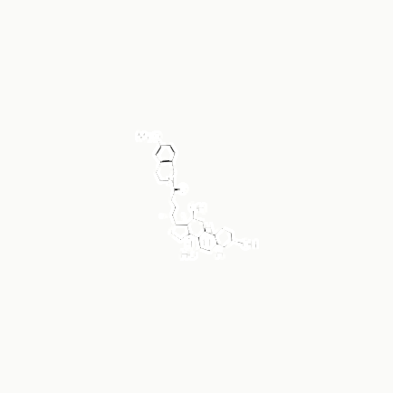 COc1ccc2c(c1)CCN(C(=O)CC[C@@H](C)[C@H]1CC[C@H]3[C@@H]4[C@H](O)C[C@@H]5C[C@H](O)CC[C@]5(C)[C@H]4C[C@H](O)[C@]13C)C2